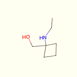 CCNC1(CO)CCC1